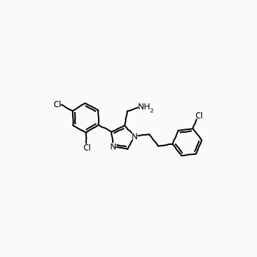 NCc1c(-c2ccc(Cl)cc2Cl)ncn1CCc1cccc(Cl)c1